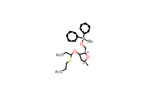 CC(=O)OCCSC(COC(C)=O)OC1C[C@H](C)O[C@@H]1CO[Si](c1ccccc1)(c1ccccc1)C(C)(C)C